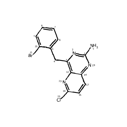 Nc1nc(Cc2ccccc2Br)c2nc(Cl)ccc2n1